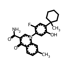 Cc1ccc2c(=O)c(C(N)=O)cn(-c3cc(O)c(C4(C)CCCCC4)cc3F)c2c1